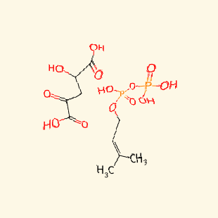 CC(C)=CCOP(=O)(O)OP(=O)(O)O.O=C(O)C(=O)CC(O)C(=O)O